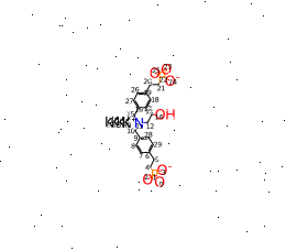 O=P([O-])([O-])CCc1ccc(CN(CCO)Cc2ccc(CCP(=O)([O-])[O-])cc2)cc1.[K+].[K+].[K+].[K+]